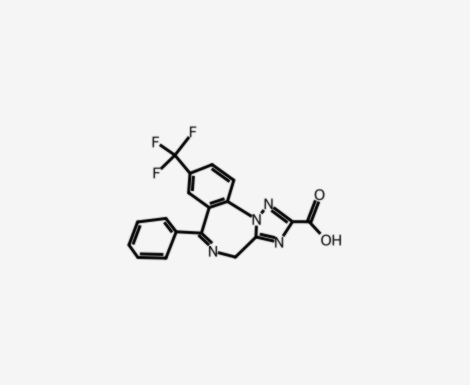 O=C(O)c1nc2n(n1)-c1ccc(C(F)(F)F)cc1C(c1ccccc1)=NC2